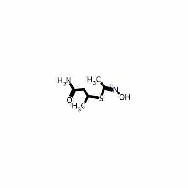 C/C(=N/O)SC(C)CC(N)=O